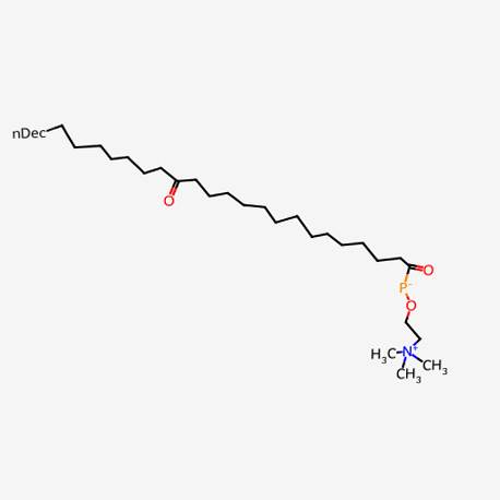 CCCCCCCCCCCCCCCCCC(=O)CCCCCCCCCCCCCC(=O)[P-]OCC[N+](C)(C)C